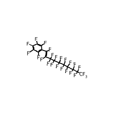 FC(=C(F)C(F)(F)C(F)(F)C(F)(F)C(F)(F)C(F)(F)C(F)(F)C(F)(F)C(F)(F)F)c1c(F)c(F)c(F)c(F)c1F